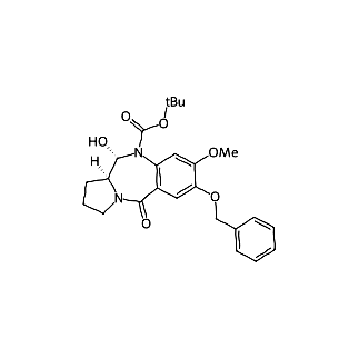 COc1cc2c(cc1OCc1ccccc1)C(=O)N1CCC[C@H]1[C@H](O)N2C(=O)OC(C)(C)C